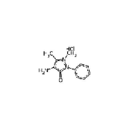 Cc1c(N)c(=O)n(-c2ccccc2)n1C.Cl